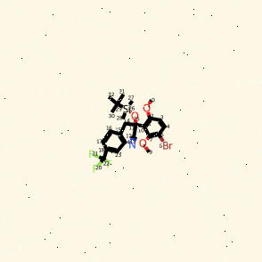 COc1ccc(Br)c(OC)c1C(C#N)(Cc1ccc(C(F)(F)F)cc1)O[Si](C)(C)C(C)(C)C